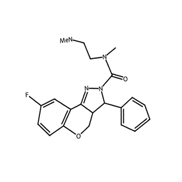 CNCCN(C)C(=O)N1N=C2c3cc(F)ccc3OCC2C1c1ccccc1